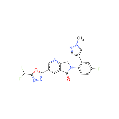 Cn1cc(-c2cc(F)ccc2N2Cc3ncc(-c4nnc(C(F)F)o4)cc3C2=O)cn1